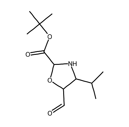 CC(C)C1NC(C(=O)OC(C)(C)C)OC1C=O